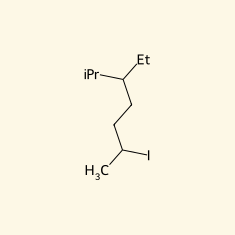 CCC(CCC(C)I)C(C)C